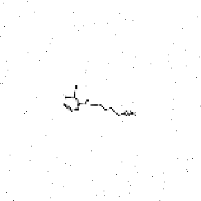 CC(=O)OCCCCCOc1ccccc1I